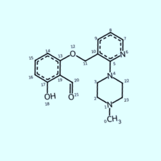 CN1CCN(c2ncccc2COc2cccc(O)c2C=O)CC1